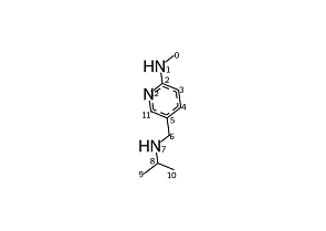 CNc1ccc(CNC(C)C)cn1